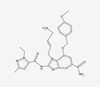 CCn1nc(C)cc1C(=O)Nc1nc2cc(C(N)=O)cc(OCc3ccc(OC)cc3)c2n1C/C=C/CN